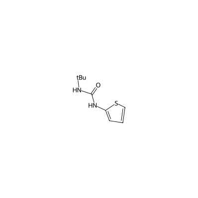 CC(C)(C)NC(=O)Nc1cccs1